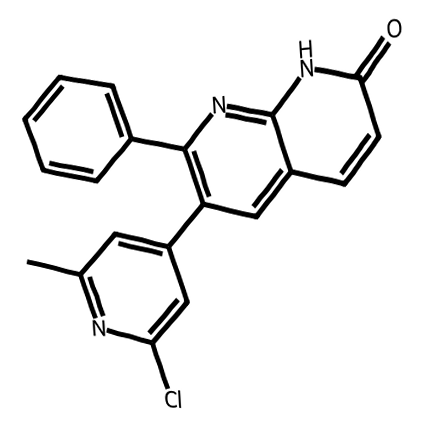 Cc1cc(-c2cc3ccc(=O)[nH]c3nc2-c2ccccc2)cc(Cl)n1